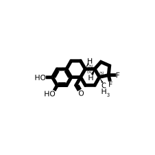 C[C@]12CCC3(C=O)c4cc(O)c(O)cc4CC[C@H]3[C@@H]1CCC2(F)F